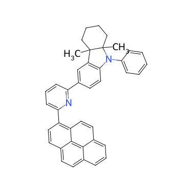 CC12CCCCC1(C)N(c1ccccc1)c1ccc(-c3cccc(-c4ccc5ccc6cccc7ccc4c5c67)n3)cc12